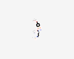 CC[C@@H](CCC[C@@H](CO[Si](C)(C)C(C)(C)C)N(C(C)C)S(=O)(=O)c1ccc([C@H](C)O[Si](C)(C)C(C)(C)C)cc1)N[S@+]([O-])C(C)(C)C